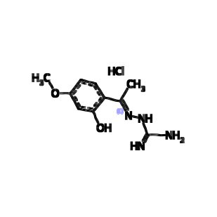 COc1ccc(/C(C)=N/NC(=N)N)c(O)c1.Cl